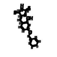 Oc1cc(OCc2ccccc2)ccc1/C=C1\SC(=S)NC1=S